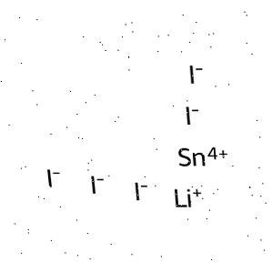 [I-].[I-].[I-].[I-].[I-].[Li+].[Sn+4]